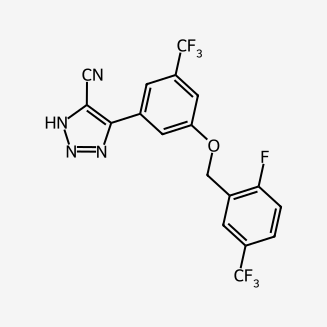 N#Cc1[nH]nnc1-c1cc(OCc2cc(C(F)(F)F)ccc2F)cc(C(F)(F)F)c1